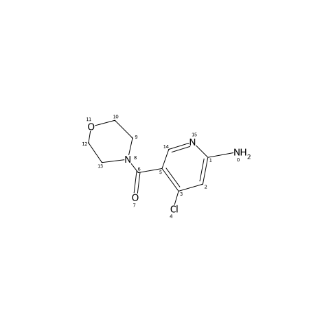 Nc1cc(Cl)c(C(=O)N2CCOCC2)cn1